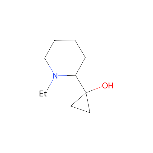 CCN1CCCCC1C1(O)CC1